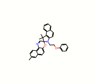 Cc1ccc2c3c(ccc2c1)OC1(C=N3)N(CCOc2ccccc2)c2ccc3ccccc3c2C1(C)C